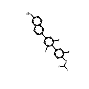 CCCCc1ccc2cc(-c3cc(F)c(-c4ccc(OC(F)F)c(F)c4)c(F)c3)ccc2c1